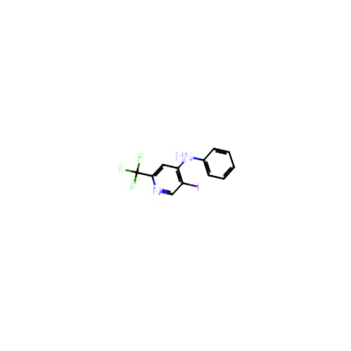 FC(F)(F)c1cc(Nc2ccccc2)c(I)cn1